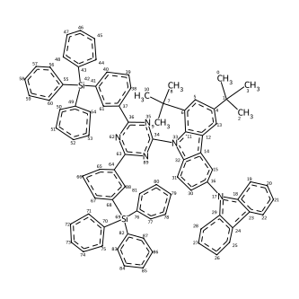 CC(C)(C)c1cc(C(C)(C)C)c2c(c1)c1cc(-n3c4ccccc4c4ccccc43)ccc1n2-c1nc(-c2cccc([Si](c3ccccc3)(c3ccccc3)c3ccccc3)c2)nc(-c2cccc([Si](c3ccccc3)(c3ccccc3)c3ccccc3)c2)n1